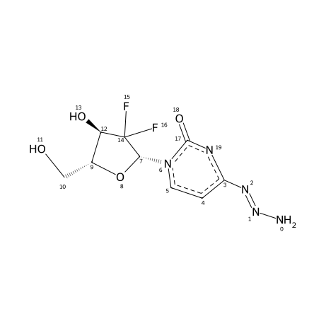 NN=Nc1ccn([C@@H]2O[C@H](CO)[C@@H](O)C2(F)F)c(=O)n1